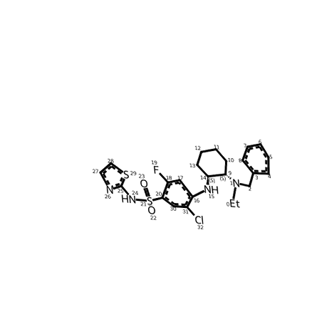 CCN(Cc1ccccc1)[C@H]1CCCC[C@@H]1Nc1cc(F)c(S(=O)(=O)Nc2nccs2)cc1Cl